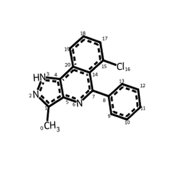 Cc1n[nH]c2c1nc(-c1ccccc1)c1c(Cl)cccc12